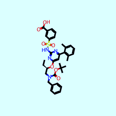 CC[C@H](CN(Cc1ccccc1)C(=O)OC(C)(C)C)Oc1cc(-c2c(C)cccc2C)nc(NS(=O)(=O)c2cccc(C(=O)O)c2)n1